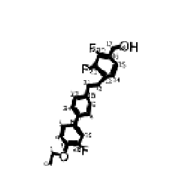 CCOc1ccc(-c2ccc(CCc3ccc(CO)c(F)c3F)cc2)cc1F